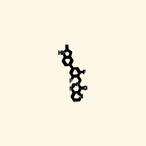 C=C1Cc2cc(-c3cc(F)c(Cn4cnc5cccnc5c4=O)c(F)c3)ccc2N1